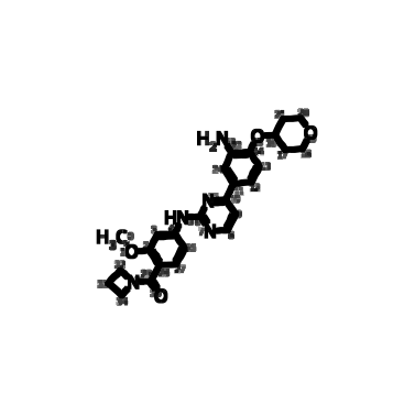 COc1cc(Nc2nccc(-c3ccc(OC4CCOCC4)c(N)c3)n2)ccc1C(=O)N1CCC1